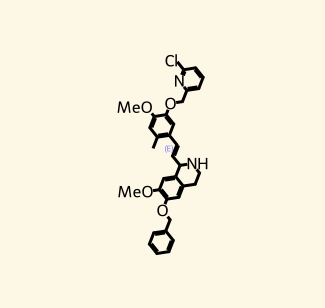 COc1cc2c(cc1OCc1ccccc1)CCNC2/C=C/c1cc(OCc2cccc(Cl)n2)c(OC)cc1C